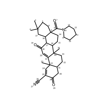 CC1(C)CCC2(C(=O)N3CCCCC3)CCC3C(C(=O)C=C4C5(C)C=C(C#N)C(=O)CC5CCC43C)C2C1